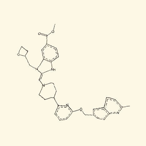 COC(=O)c1ccc2c(c1)N(CC1CCO1)C(=CN1CCC(c3cccc(OCc4ccc5nc(C)ccc5c4)n3)CC1)N2